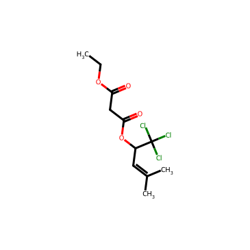 CCOC(=O)CC(=O)OC(C=C(C)C)C(Cl)(Cl)Cl